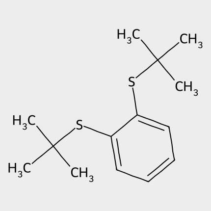 CC(C)(C)Sc1ccccc1SC(C)(C)C